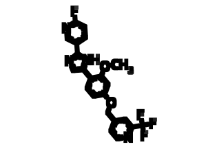 COc1cc(OCc2ccnc(C(F)(F)F)c2)ccc1-c1cnc(-c2ccc(F)nc2)[nH]1